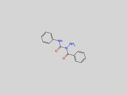 NN(C(=O)Nc1ccccc1)C(=O)c1ccccc1